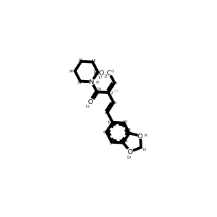 O=C(O)/C=C(/C=Cc1ccc2c(c1)OCO2)C(=O)N1CCCCC1